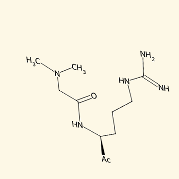 CC(=O)[C@H](CCCNC(=N)N)NC(=O)CN(C)C